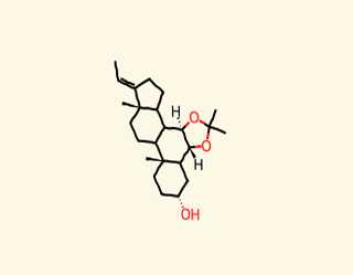 C/C=C1\CCC2C3C(CC[C@]12C)[C@@]1(C)CC[C@@H](O)CC1[C@H]1OC(C)(C)O[C@H]31